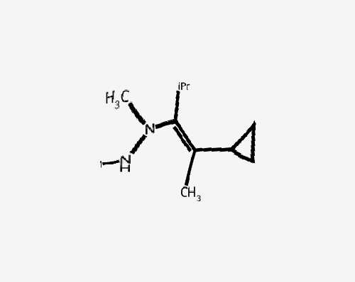 C/C(=C(/C(C)C)N(C)NI)C1CC1